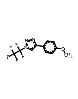 COc1ccc(-c2cn(C(F)(F)C(F)(F)F)nn2)cc1